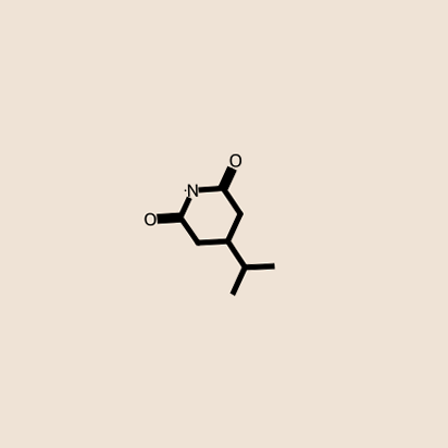 CC(C)C1CC(=O)[N]C(=O)C1